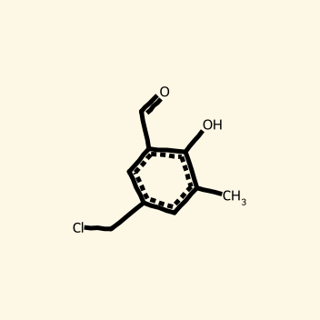 Cc1cc(CCl)cc(C=O)c1O